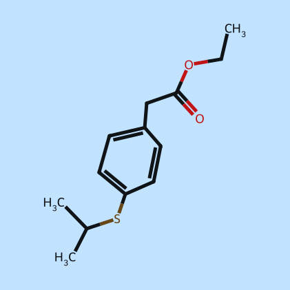 CCOC(=O)Cc1ccc(SC(C)C)cc1